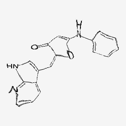 O=C1C=C(Nc2ccccc2)O/C1=C/c1c[nH]c2ncccc12